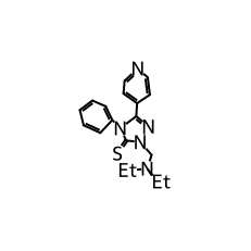 CCN(CC)Cn1nc(-c2ccncc2)n(-c2ccccc2)c1=S